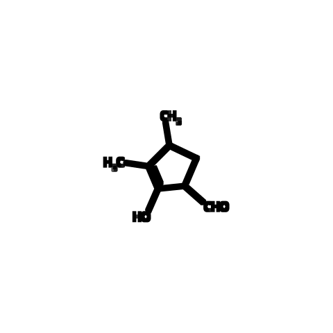 CC1=C(O)C(C=O)CC1C